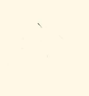 C=C(C)C(=O)O[C@H](CC)OOC(CS(=O)(=O)O)(C(F)(F)F)C(F)(F)F